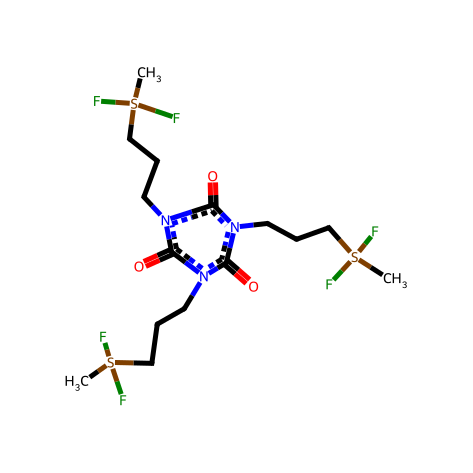 CS(F)(F)CCCn1c(=O)n(CCCS(C)(F)F)c(=O)n(CCCS(C)(F)F)c1=O